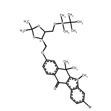 Cn1c2c(c3ccc(Br)cc31)C(=O)c1ccc(OC[C@H]3OC(C)(C)OC3CO[Si](C)(C)C(C)(C)C)cc1C2(C)C